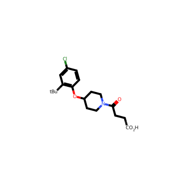 CC(C)(C)c1cc(Cl)ccc1OC1CCN(C(=O)CCC(=O)O)CC1